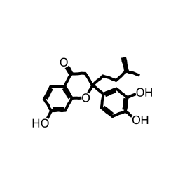 C=C(C)CCC1(c2ccc(O)c(O)c2)CC(=O)c2ccc(O)cc2O1